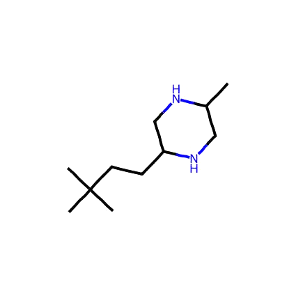 CC1CNC(CCC(C)(C)C)CN1